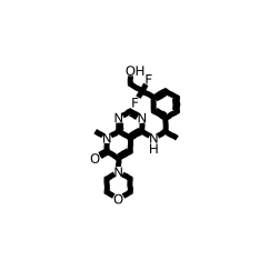 CC(Nc1ncnc2c1cc(N1CCOCC1)c(=O)n2C)c1cccc(C(F)(F)CO)c1